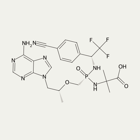 C[C@H](Cn1cnc2c(N)ncnc21)OC[P@](=O)(N[C@H](c1ccc(C#N)cc1)C(F)(F)F)NC(C)(C)C(=O)O